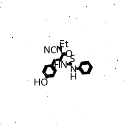 CCN(C#N)C(=O)C(Cc1ccc(O)cc1)NC(=S)Nc1ccccc1